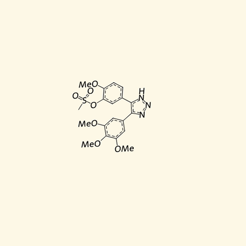 COc1ccc(-c2[nH]nnc2-c2cc(OC)c(OC)c(OC)c2)cc1OS(C)(=O)=O